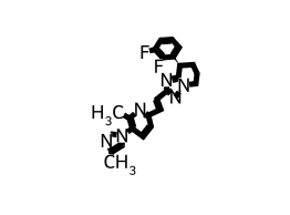 Cc1cn(-c2ccc(/C=C/c3nc4n(n3)CCC[C@H]4c3cccc(F)c3F)nc2C)cn1